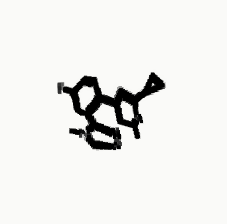 Cc1cc(-c2ccc(F)cc2-c2nncn2C)cc(C2CC2)n1